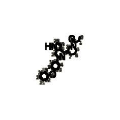 C=CC(=O)N1CCC[C@@H](c2nc(-c3ccc(Oc4ccccc4)cc3)cc3[nH]ccc23)C1